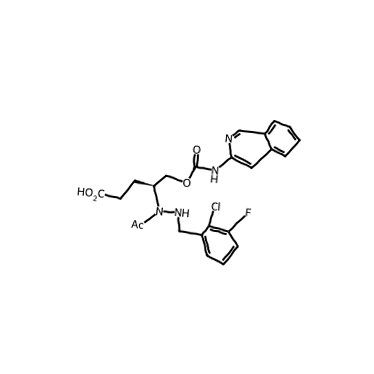 CC(=O)N(NCc1cccc(F)c1Cl)[C@@H](CCC(=O)O)COC(=O)Nc1cc2ccccc2cn1